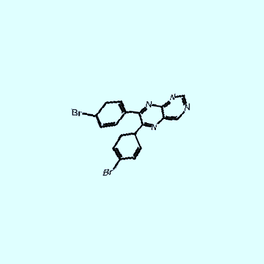 BrC1=CCC(c2nc3cncnc3nc2C2=CCC(Br)C=C2)C=C1